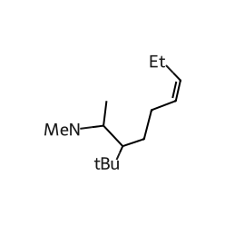 CC/C=C\CCC(C(C)NC)C(C)(C)C